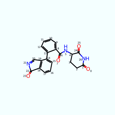 O=C1CCC(NC(=O)c2ccccc2-c2cccc3c2C=NC3=O)C(=O)N1